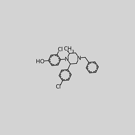 C[C@H]1CN(Cc2ccccc2)CC(c2ccc(Cl)cc2)N1c1ccc(O)cc1Cl